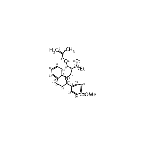 C=C(C)COCC(CN1c2ccccc2SCC1c1ccc(OC)cc1)N(CC)CC